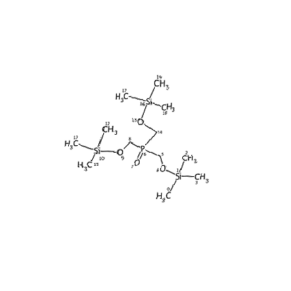 C[Si](C)(C)OCP(=O)(CO[Si](C)(C)C)CO[Si](C)(C)C